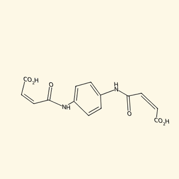 O=C(O)/C=C\C(=O)Nc1ccc(NC(=O)/C=C\C(=O)O)cc1